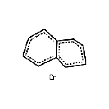 [Cr].c1ccc2ccccc2c1